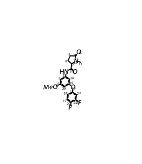 COc1cc(NC(=O)C2CCC(=O)N2C)cc(Oc2ccc(F)c(F)c2)c1